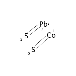 [S]=[Co].[S]=[Pb]